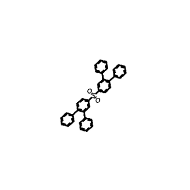 O=S(=O)(c1ccc(-c2ccccc2)c(-c2ccccc2)c1)c1ccc(-c2ccccc2)c(-c2ccccc2)c1